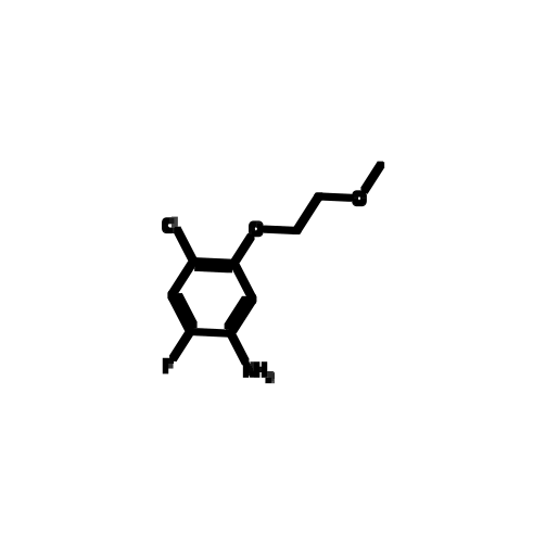 COCCOc1cc(N)c(F)cc1Cl